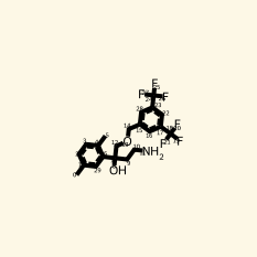 Cc1ccc(C)c(C(O)(CCN)COCc2cc(C(F)(F)F)cc(C(F)(F)F)c2)c1